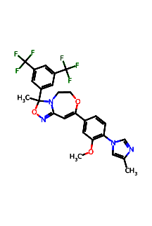 COc1cc(C2=CC3=NOC(C)(c4cc(C(F)(F)F)cc(C(F)(F)F)c4)N3CCO2)ccc1-n1cnc(C)c1